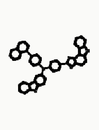 c1ccc2c(-c3ccc(N(c4ccc(-c5nc6c(ccc7oc8ccccc8c76)o5)cc4)c4ccc5sc6ccccc6c5c4)cc3)cccc2c1